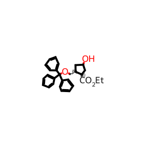 CCOC(=O)[C@@H]1CC(O)C[C@H]1COC(c1ccccc1)(c1ccccc1)c1ccccc1